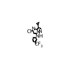 FC(F)(F)c1cccc(Nc2cc(Cl)nc3c(C4CC4)cnn23)c1